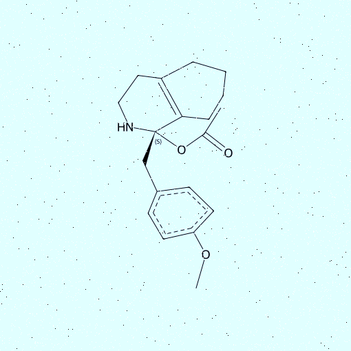 COc1ccc(C[C@@]2(OC(C)=O)NCCC3=C2CCCC3)cc1